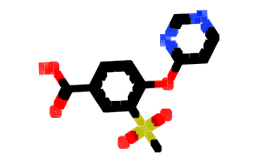 CS(=O)(=O)c1cc(C(=O)O)ccc1Oc1ccncn1